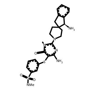 CNS(=O)(=O)c1cccc(Sc2c(N)nc(N3CCC4(CC3)Cc3ccccc3[C@H]4N)n(C)c2=O)c1